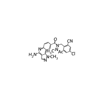 CC(=O)N(C)N(Cc1ccc(Cl)cc1C#N)C(=O)c1ccc2nc(N)c3cnn(C)c3c2c1